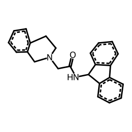 O=C(CN1CCc2ccccc2C1)NC1c2ccccc2-c2ccccc21